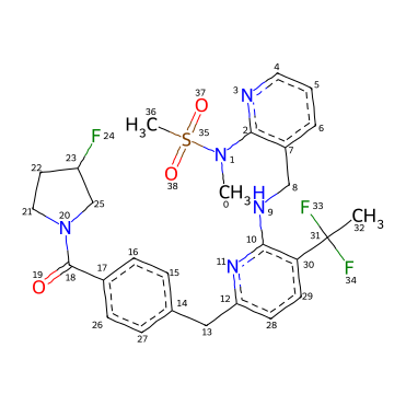 CN(c1ncccc1CNc1nc(Cc2ccc(C(=O)N3CCC(F)C3)cc2)ccc1C(C)(F)F)S(C)(=O)=O